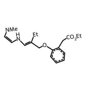 CCOC(=O)Cc1ccccc1OC/C(=C/N/C=C\NC)CC